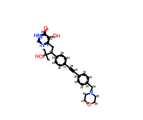 CC(C)(O)C(Cc1nc[nH]c(=O)c1O)c1ccc(C#Cc2ccc(CN3CCOCC3)cc2)cc1